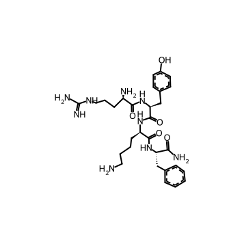 N=C(N)NCCC[C@@H](N)C(=O)N[C@@H](Cc1ccc(O)cc1)C(=O)N[C@H](CCCCN)C(=O)N[C@@H](Cc1ccccc1)C(N)=O